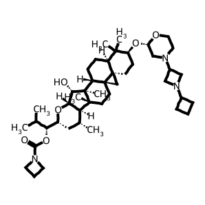 CC(C)[C@@H](OC(=O)N1CCC1)[C@H]1C[C@@H](C)[C@H]2[C@H](O1)[C@H](O)[C@@]1(C)[C@@H]3CC[C@H]4C(C)(C)[C@@H](O[C@H]5CN(C6CN(C7CCC7)C6)CCO5)CC[C@@]45C[C@@]35CC[C@]21C